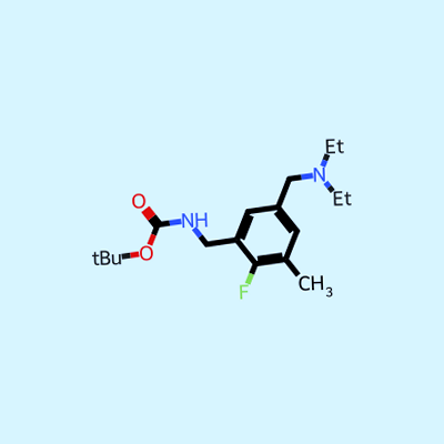 CCN(CC)Cc1cc(C)c(F)c(CNC(=O)OC(C)(C)C)c1